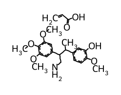 C=CC(=O)O.COc1ccc(C(C)C(CN)c2cc(OC)c(OC)c(OC)c2)cc1O